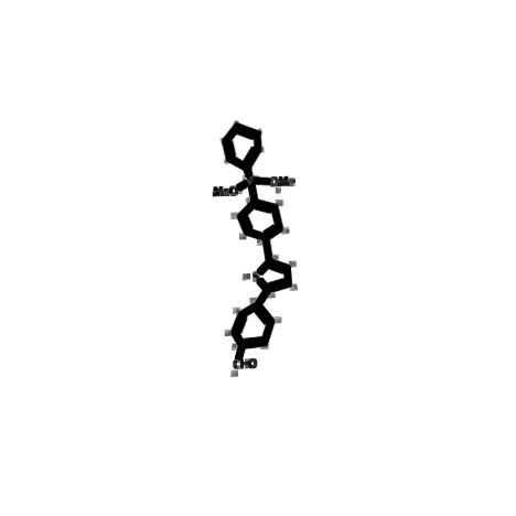 CO[N+](OC)(c1ccccc1)c1ccc(-c2ccc(-c3ccc(C=O)cc3)s2)cc1